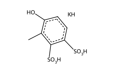 Cc1c(O)ccc(S(=O)(=O)O)c1S(=O)(=O)O.[KH]